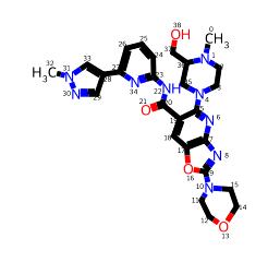 CN1CCN(c2nc3nc(N4CCOCC4)oc3cc2C(=O)Nc2cccc(-c3cnn(C)c3)n2)CC1CO